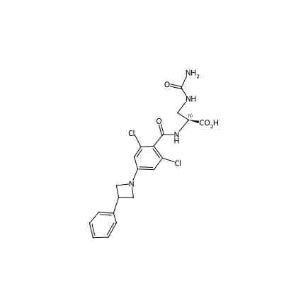 NC(=O)NC[C@H](NC(=O)c1c(Cl)cc(N2CC(c3ccccc3)C2)cc1Cl)C(=O)O